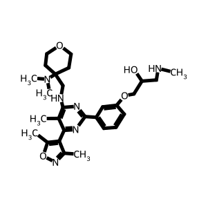 CNCC(O)COc1cccc(-c2nc(NCC3(N(C)C)CCOCC3)c(C)c(-c3c(C)noc3C)n2)c1